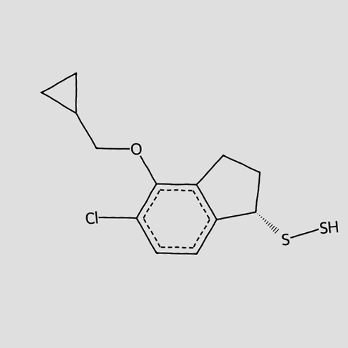 SS[C@H]1CCc2c1ccc(Cl)c2OCC1CC1